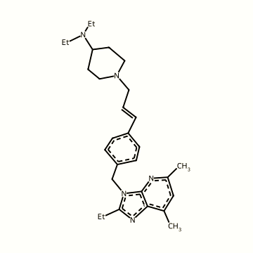 CCc1nc2c(C)cc(C)nc2n1Cc1ccc(/C=C/CN2CCC(N(CC)CC)CC2)cc1